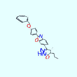 CCC[C@H]1C(=O)NN=C(c2ccc3nc(-c4ccc(OCc5ccccc5)cc4)oc3c2)[C@@H]1C